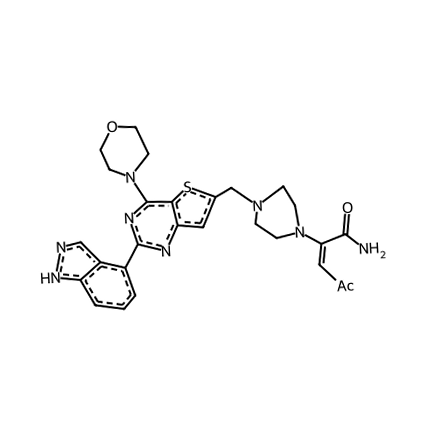 CC(=O)C=C(C(N)=O)N1CCN(Cc2cc3nc(-c4cccc5[nH]ncc45)nc(N4CCOCC4)c3s2)CC1